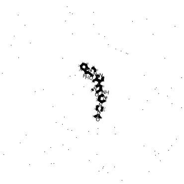 Cn1cc(-c2ccnc(N3CCn4c(c(F)c5c4CCCC5)C3)c2CO)cc(Nc2ccc(N3CCN(C4COC4)CC3)cn2)c1=O